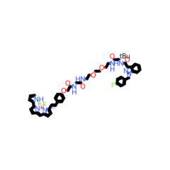 CC(C)(C)C(NC(=O)c1nn(Cc2ccc(F)cc2)c2ccccc12)C(=O)NCCOCCOCCNC(=O)CNC(=O)COc1ccc(/C=C/c2ccc3n2[B-](F)(F)[N+]2=C(c4ccc[nH]4)C=CC2=C3)cc1